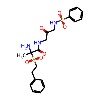 CC(N)(C(=O)NCC(=O)CNS(=O)(=O)c1ccccc1)S(=O)(=O)CCc1ccccc1